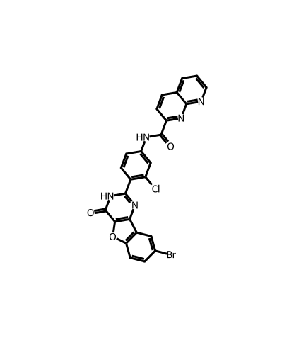 O=C(Nc1ccc(-c2nc3c(oc4ccc(Br)cc43)c(=O)[nH]2)c(Cl)c1)c1ccc2cccnc2n1